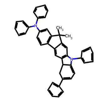 CC1(C)c2cc(N(c3ccccc3)c3ccccc3)ccc2-c2cc3c(cc21)N(c1ccccc1)C1=CC=C(c2ccccc2)CC13